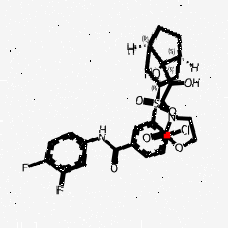 O=C(Nc1ccc(F)c(F)c1)c1ccc(Cl)c(S(=O)(=O)[C@H]2C[C@H]3CC[C@@H](C2)[C@@]3(O)C(O)CN2CCOC2=O)c1